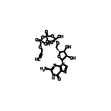 C#CCOP(=O)(O)OP(=O)(O)OP(=O)(O)OC[C@H]1O[C@@H](n2cnc3c(=O)[nH]c(N)nc32)[C@H](O)[C@@H]1O